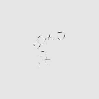 Cc1cc(C(=O)Nc2ccccc2)nc2c(C(=O)NC(C3CC3)C(F)(F)F)ncn12